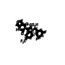 O=C(O)c1c(-n2c(=O)[nH]c3cscc3c2=O)c2cc(C(F)(F)F)ccc2n1Cc1cc(F)cc(F)c1